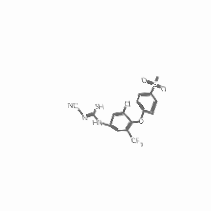 CS(=O)(=O)c1ccc(Oc2c(Cl)cc(NC(S)=NC#N)cc2C(F)(F)F)cc1